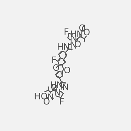 COC(=O)NC(C(=O)N1C[C@H](F)C[C@H]1c1ncc(-c2ccc3c(F)c4oc5ccc(-c6cnc([C@@H]7C[C@@H](F)CN7C(=O)C(C(C)C)N(C)C(=O)O)[nH]6)cc5c(=O)c4cc3c2)[nH]1)C(C)C